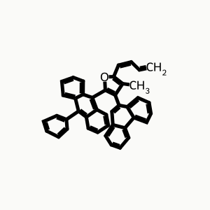 C=C/C=C\c1oc(-c2c3ccccc3c(-c3ccccc3)c3ccccc23)c(-c2cc3ccccc3c3ccccc23)c1C